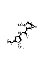 Cn1cc(NC(=O)c2c3c(cn2C)C3)cc1C=O